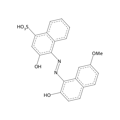 COc1ccc2ccc(O)c(N=Nc3c(O)cc(S(=O)(=O)O)c4ccccc34)c2c1